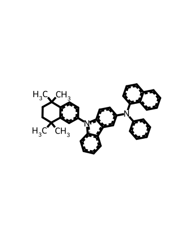 CC1(C)CCC(C)(C)c2cc(-n3c4ccccc4c4cc(N(c5ccccc5)c5cccc6ccccc56)ccc43)ccc21